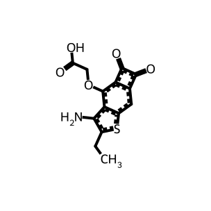 CCc1sc2cc3c(=O)c(=O)c3c(OCC(=O)O)c2c1N